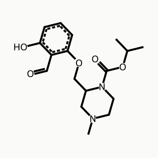 CC(C)OC(=O)N1CCN(C)CC1COc1cccc(O)c1C=O